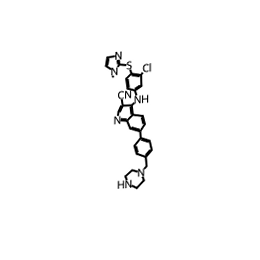 Cn1ccnc1Sc1ccc(Nc2c(C#N)cnc3cc(-c4ccc(CN5CCNCC5)cc4)ccc23)cc1Cl